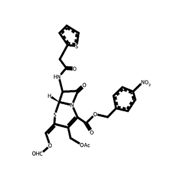 CC(=O)OCC1=C(C(=O)OCc2ccc([N+](=O)[O-])cc2)N2C(=O)C(NC(=O)Cc3cccs3)[C@H]2S/C1=C/OC=O